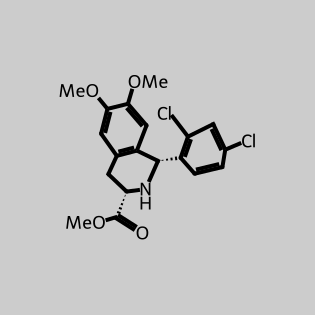 COC(=O)[C@@H]1Cc2cc(OC)c(OC)cc2[C@H](c2ccc(Cl)cc2Cl)N1